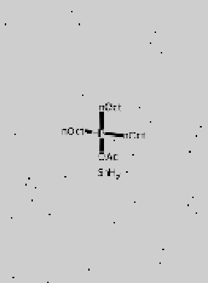 CCCCCCCC[PH](CCCCCCCC)(CCCCCCCC)OC(C)=O.[SnH2]